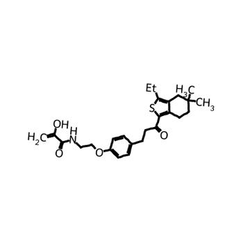 C=C(O)C(=O)NCCOc1ccc(CCC(=O)c2sc(CC)c3c2CCC(C)(C)C3)cc1